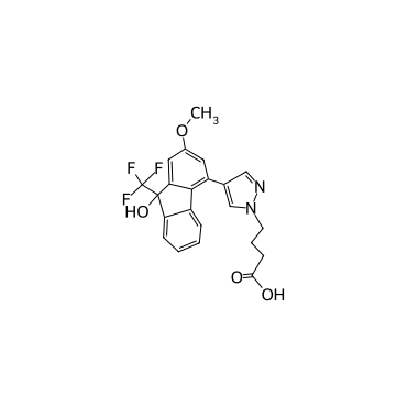 COc1cc(-c2cnn(CCCC(=O)O)c2)c2c(c1)C(O)(C(F)(F)F)c1ccccc1-2